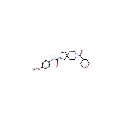 O=C(Nc1ccc(OC(F)(F)F)cc1)N1CCC2(CCN(C(=O)C3CCOCC3)CC2)C1